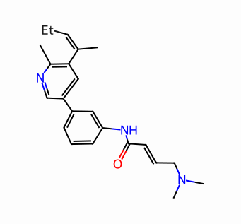 CC/C=C(/C)c1cc(-c2cccc(NC(=O)/C=C/CN(C)C)c2)cnc1C